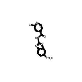 O=C(O)c1ccc2nc(NC(=O)c3ccnc(Cl)c3)sc2c1